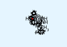 CC(Oc1nc(C(=N)NO)nc(N2CCOCC(C)(O[Si](c3ccccc3)(c3ccccc3)C(C)(C)C)C2)n1)[C@@]12CCCN1C[C@H](F)C2